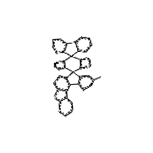 Cc1ccc2c(c1)C1(c3ccccc3C3(c4ccccc4-c4ccccc43)c3ccccc31)c1ccc3sc4ccccc4c3c1-2